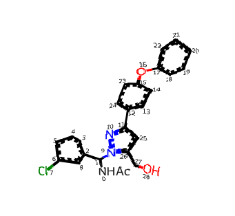 CC(=O)NC(c1cccc(Cl)c1)n1nc(-c2ccc(Oc3ccccc3)cc2)cc1CO